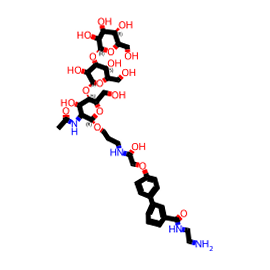 CC(=O)NC1C(O)[C@H](O[C@@H]2OC(CO)[C@H](O)C(O[C@H]3OC(CO)[C@H](O)C(O)C3O)C2O)C(CO)O[C@H]1OCCCNC(O)COc1ccc(-c2cccc(C(=O)NCCN)c2)cc1